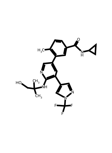 Cc1ccc(C(=O)NC2CC2)cc1-c1cnc(NC(C)(C)CO)c(-c2cnn(C(F)(F)F)c2)c1